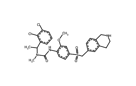 COc1cc(S(=O)(=O)Cc2ccc3c(c2)CCNC3)ccc1NC(=O)N(C)C(C)c1cccc(Cl)c1Cl